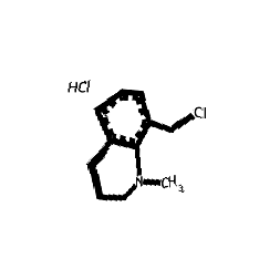 CN1CCCc2cccc(CCl)c21.Cl